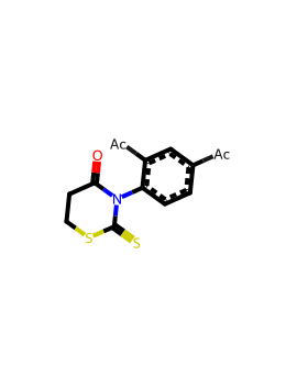 CC(=O)c1ccc(N2C(=O)CCSC2=S)c(C(C)=O)c1